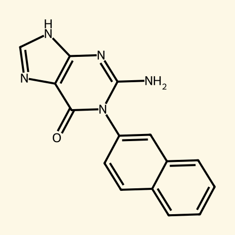 Nc1nc2[nH]cnc2c(=O)n1-c1ccc2ccccc2c1